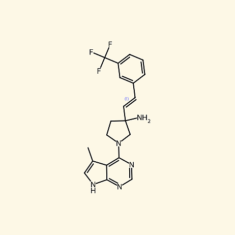 Cc1c[nH]c2ncnc(N3CCC(N)(/C=C/c4cccc(C(F)(F)F)c4)C3)c12